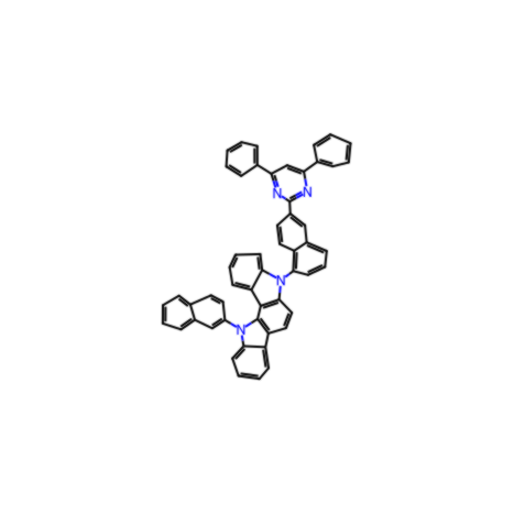 c1ccc(-c2cc(-c3ccccc3)nc(-c3ccc4c(-n5c6ccccc6c6c5ccc5c7ccccc7n(-c7ccc8ccccc8c7)c56)cccc4c3)n2)cc1